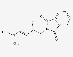 CN(C)C=CC(=O)CN1C(=O)c2ccccc2C1=O